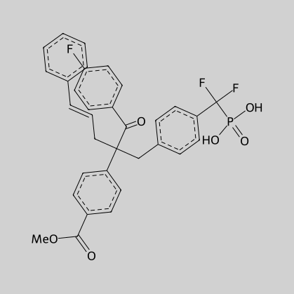 COC(=O)c1ccc(C(CC=Cc2ccccc2)(Cc2ccc(C(F)(F)P(=O)(O)O)cc2)C(=O)c2ccc(F)cc2)cc1